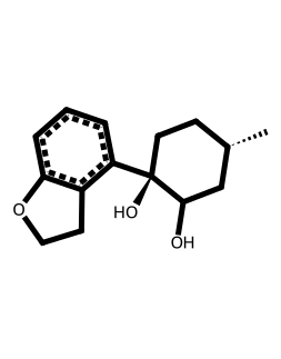 C[C@H]1CC[C@@](O)(c2cccc3c2CCO3)C(O)C1